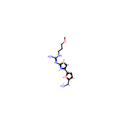 COCCCNC(N)=Nc1nc(-c2ccc(CN)o2)cs1